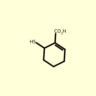 O=C(O)C1=CCCCC1S